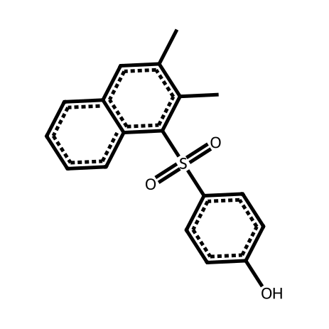 Cc1cc2ccccc2c(S(=O)(=O)c2ccc(O)cc2)c1C